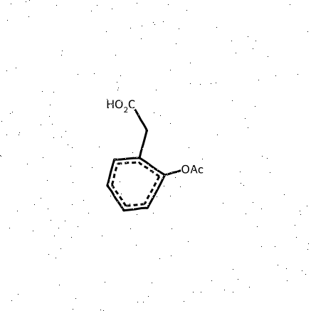 CC(=O)Oc1ccccc1CC(=O)O